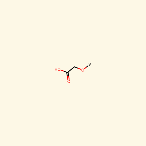 O=C(O)C[O][V]